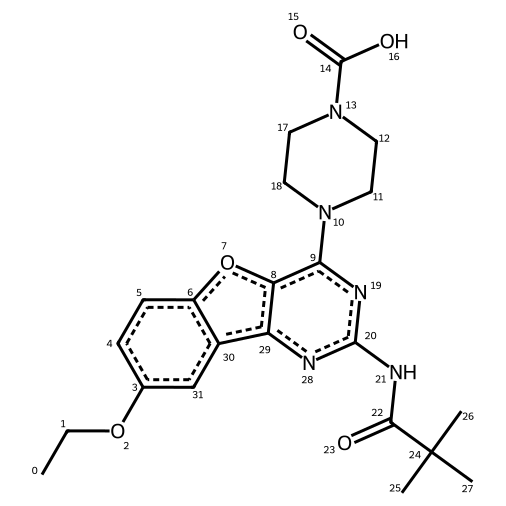 CCOc1ccc2oc3c(N4CCN(C(=O)O)CC4)nc(NC(=O)C(C)(C)C)nc3c2c1